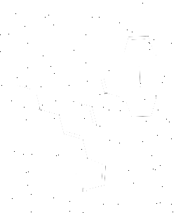 COC(=O)c1cc(C(=O)N2CCCC2c2nc(C)cs2)cc(-c2cc[nH]n2)c1